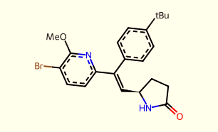 COc1nc(C(=C[C@H]2CCC(=O)N2)c2ccc(C(C)(C)C)cc2)ccc1Br